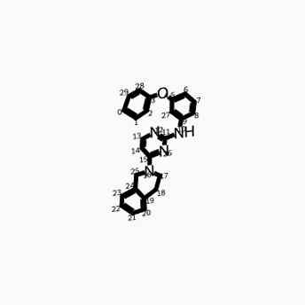 c1ccc(Oc2cccc(Nc3nccc(N4CCc5ccccc5C4)n3)c2)cc1